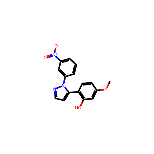 COc1ccc(-c2ccnn2-c2cccc([N+](=O)[O-])c2)c(O)c1